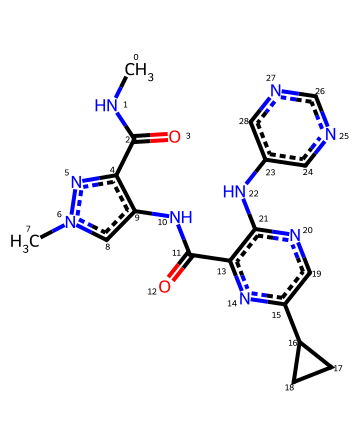 CNC(=O)c1nn(C)cc1NC(=O)c1nc(C2CC2)cnc1Nc1cncnc1